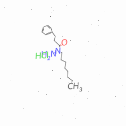 CCCCCCCCN(N)C(=O)CCc1ccccc1.Cl